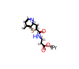 Cc1ccnc2cc(C(=O)NCCC(=O)OC(C)C)sc12